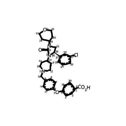 O=C(O)c1ccc(Oc2ccc(CN3CCC(N4C(=O)N(C5CCOCC5)C[C@H]4c4cccc(Cl)c4)CC3)cc2)cc1